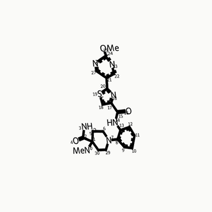 CNC1(C(N)=O)CCN(c2ccccc2NC(=O)c2csc(-c3cnc(OC)nc3)n2)CC1